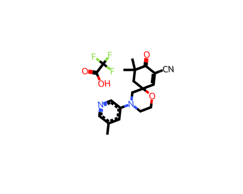 Cc1cncc(N2CCOC3(C=C(C#N)C(=O)C(C)(C)C3)C2)c1.O=C(O)C(F)(F)F